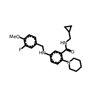 COc1ccc(CNc2ccc(N3CCCCC3)c(C(=O)NCC3CC3)c2)cc1F